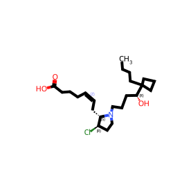 CCCCC1([C@H](O)CCCN2CC[C@@H](Cl)[C@@H]2C/C=C\CCCC(=O)O)CCC1